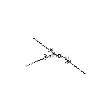 CCCCCCCCCCCCCCOC(=O)CCNCCN(CCC(=O)OCCCCCCCCCCCCCC)CCN1CCN(CCNCCC(=O)OCCCCCCCCCCCCCC)CC1